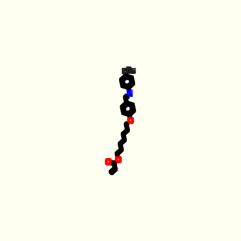 C=CC(=O)OCCCCCCCOc1ccc(C=Nc2ccc(CCCC)cc2)cc1